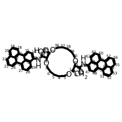 C=C1OCCCCCOC(C(O)Nc2ccc3c4cccc5cccc(c6cccc2c63)c54)C(=C)OCCCCCOC1C(=O)Nc1ccc2c3cccc4cccc(c5cccc1c52)c43